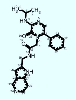 CC(C)Nc1ncc(-c2ccccc2)n(CC(=O)NCc2cc3cnccc3[nH]2)c1=O